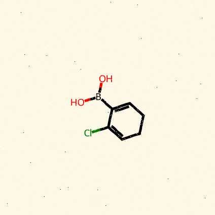 OB(O)C1=CCCC=C1Cl